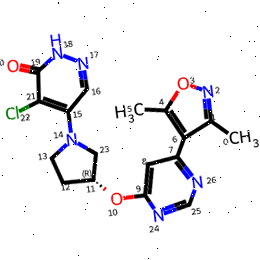 Cc1noc(C)c1-c1cc(O[C@@H]2CCN(c3cn[nH]c(=O)c3Cl)C2)ncn1